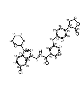 O=C(NCc1nn(C2CCCCO2)c2ccc(Cl)cc12)c1cncc(Cc2ccc(N3CCOC3=O)cc2)c1